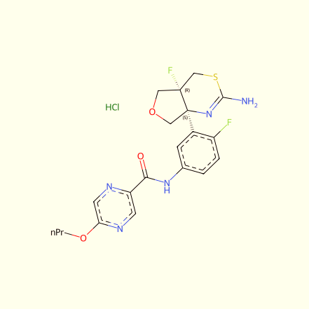 CCCOc1cnc(C(=O)Nc2ccc(F)c([C@]34COC[C@@]3(F)CSC(N)=N4)c2)cn1.Cl